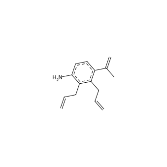 C=CCc1c(N)ccc(C(=C)C)c1CC=C